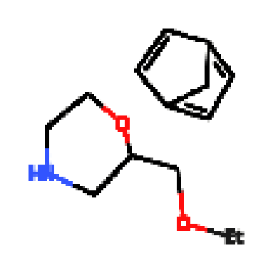 C1=CC2=CC=C1C2.CCOCC1CNCCO1